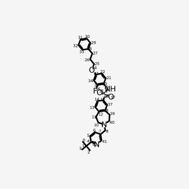 CC(C)(C)c1ccc(CN2CCc3ccc(S(=O)(=O)Nc4ccc(OCCCc5ccccc5)cc4F)cc3CC2)cn1